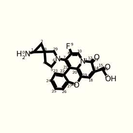 NC1CC12CCN(c1c(F)cn3c(=O)c(C(=O)O)cc4c3c1-c1ccccc1O4)C2